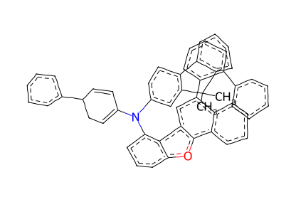 CC1(C)c2ccccc2-c2ccc(N(C3=CCC(c4ccccc4)C=C3)c3cccc4oc5c6ccccc6c(-c6ccccc6-c6ccccc6)cc5c34)cc21